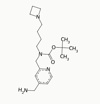 CC(C)(C)OC(=O)N(CCCCN1CCC1)Cc1cc(CN)ccn1